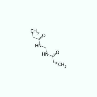 C=CC(=O)NCNC(=O)CC